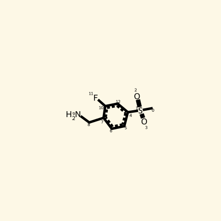 CS(=O)(=O)c1ccc(CN)c(F)c1